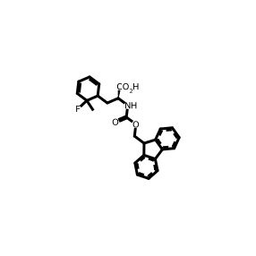 CC1(F)C=CC=CC1C[C@H](NC(=O)OCC1c2ccccc2-c2ccccc21)C(=O)O